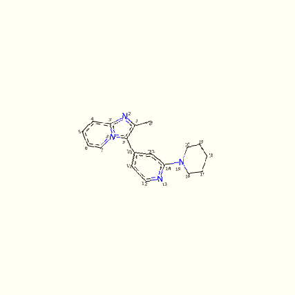 Cc1nc2ccccn2c1-c1ccnc(N2CCCCC2)c1